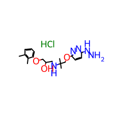 Cc1cccc(OCC(O)CNC(C)(C)COc2ccc(NN)nn2)c1C.Cl